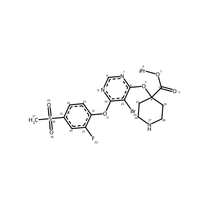 CC(C)OC(=O)C1(Oc2ncnc(Oc3ccc(S(C)(=O)=O)cc3F)c2Br)CCNCC1